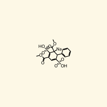 COC(=O)C1=C(S(=O)(=O)O)[C]([Na])(C(=O)OC)C(c2ccccc2)C(S(=O)(=O)O)=C1